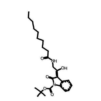 CCCCCCCCCC(=O)NCC(O)=C1C(=O)N(C(=O)OC(C)(C)C)c2ccccc21